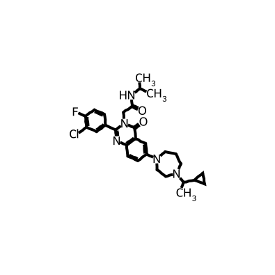 CC(C)NC(=O)Cn1c(-c2ccc(F)c(Cl)c2)nc2ccc(N3CCCN(C(C)C4CC4)CC3)cc2c1=O